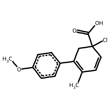 COc1ccc(C2=C(C)C=CC(Cl)(C(=O)O)C2)cc1